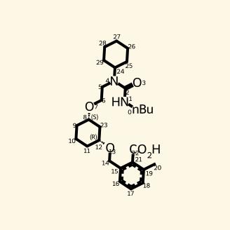 CCCCNC(=O)N(CCO[C@H]1CCC[C@@H](OCc2cccc(C)c2C(=O)O)C1)C1CCCCC1